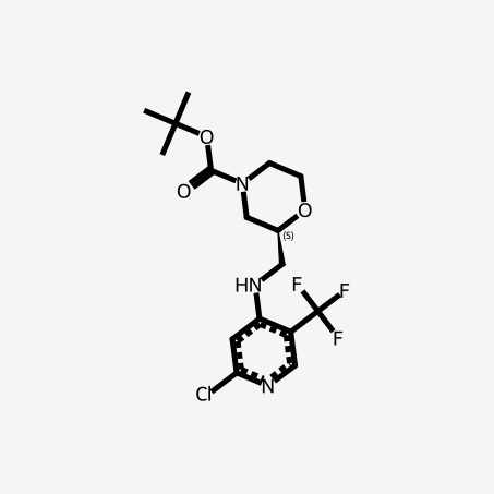 CC(C)(C)OC(=O)N1CCO[C@@H](CNc2cc(Cl)ncc2C(F)(F)F)C1